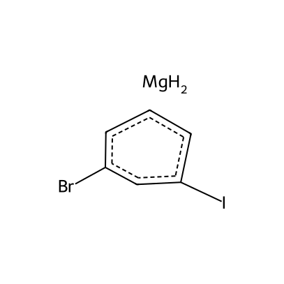 Brc1cccc(I)c1.[MgH2]